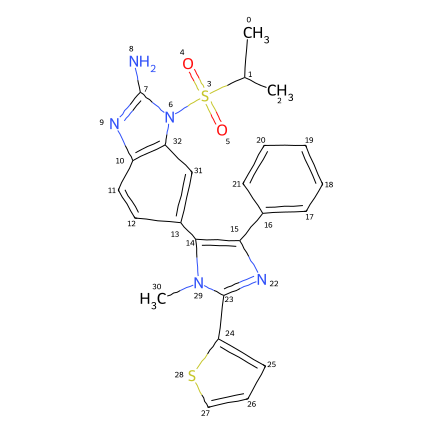 CC(C)S(=O)(=O)n1c(N)nc2ccc(-c3c(-c4ccccc4)nc(-c4cccs4)n3C)cc21